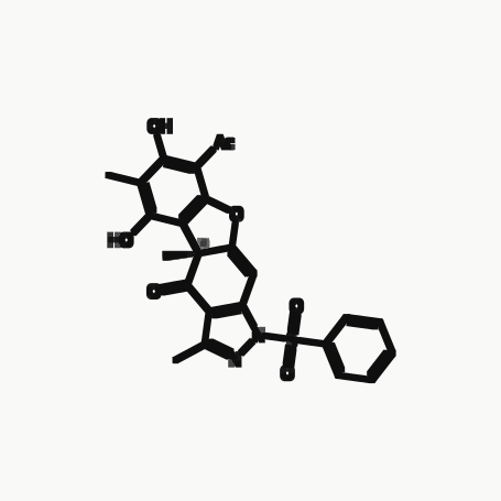 CC(=O)c1c(O)c(C)c(O)c2c1OC1=Cc3c(c(C)nn3S(=O)(=O)c3ccccc3)C(=O)[C@@]12C